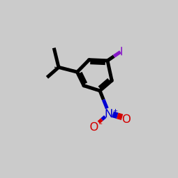 C[C](C)c1cc(I)cc([N+](=O)[O-])c1